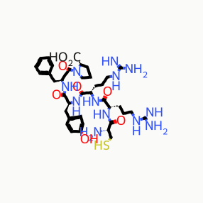 N=C(N)NCCC[C@H](NC(=O)[C@H](CCCNC(=N)N)NC(=O)[C@@H](N)CS)C(=O)N[C@@H](Cc1ccc(O)cc1)C(=O)N[C@@H](Cc1ccccc1)C(=O)N1CCC[C@H]1C(=O)O